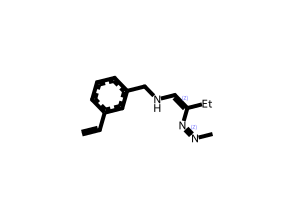 C=Cc1cccc(CN/C=C(CC)\N=N/C)c1